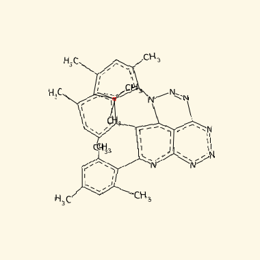 Cc1cc(C)c(-c2nc3nnnc4c3c(c2-c2c(C)cc(C)cc2C)N(c2c(C)cc(C)cc2C)N=N4)c(C)c1